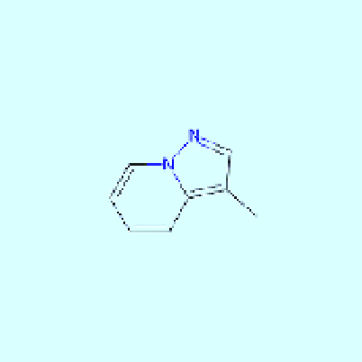 Cc1cnn2ccccc12